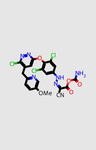 COc1ccc(Cc2cc(Oc3c(Cl)cc(NN=C(C#N)C(=O)OC(N)=O)cc3Cl)nnc2Cl)nc1